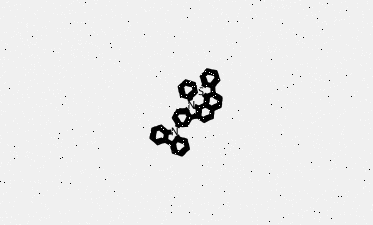 c1ccc(-n2c3ccc(-n4c5ccccc5c5ccccc54)cc3c3ccc4ccc5c6ccccc6sc5c4c32)cc1